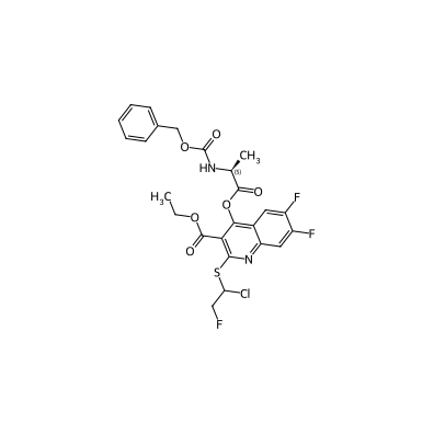 CCOC(=O)c1c(SC(Cl)CF)nc2cc(F)c(F)cc2c1OC(=O)[C@H](C)NC(=O)OCc1ccccc1